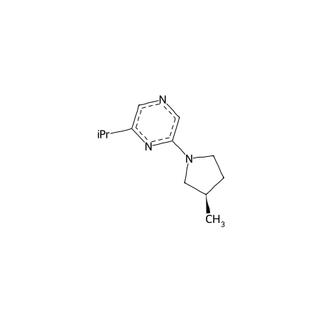 CC(C)c1cncc(N2CC[C@@H](C)C2)n1